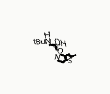 Cc1cc2c(OC[C@@H](O)CNC(C)(C)C)nccc2s1